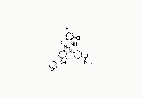 NC(=O)C1CCC(n2c(Nc3c(Cl)cc(F)cc3Cl)nc3cnc(N[C@H]4CCCOC4)nc32)CC1